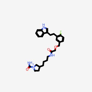 NC(=O)N1CCC(CCCCNC(=O)COCc2ccc(F)c(CCc3c[nH]c4ccccc34)c2)C1